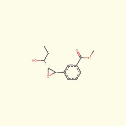 CCC(O)[C@H]1O[C@@H]1c1cccc(C(=O)OC)c1